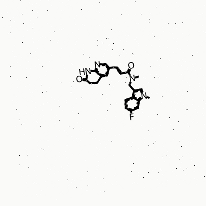 CN(Cc1cn(C)c2cc(F)ccc12)C(=O)C=Cc1cnc2c(c1)CCC(=O)N2